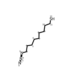 [N-]=[N+]=NCCCCCCCCCS